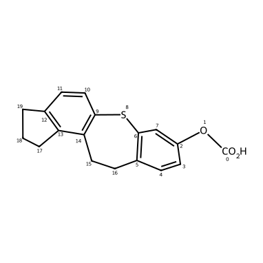 O=C(O)Oc1ccc2c(c1)Sc1ccc3c(c1CC2)CCC3